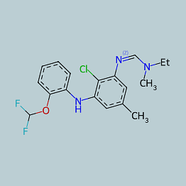 CCN(C)/C=N\c1cc(C)cc(Nc2ccccc2OC(F)F)c1Cl